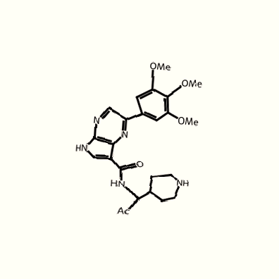 COc1cc(-c2cnc3[nH]cc(C(=O)NC(C(C)=O)C4CCNCC4)c3n2)cc(OC)c1OC